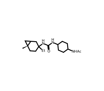 CCC1(NC(=O)NC2CCC(NC(C)=O)CC2)CC[C@]2(C)CC2C1